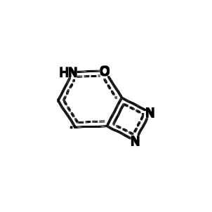 [c]1c[nH]oc2nnc1=2